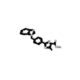 COC(=O)c1nc(-c2ccc(Cn3cnc4ccccc43)cc2)oc1C